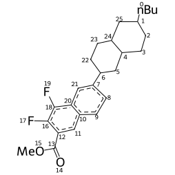 CCCCC1CCC2CC(c3ccc4cc(C(=O)OC)c(F)c(F)c4c3)CCC2C1